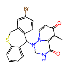 Cc1c2n(ccc1=O)N(C1c3ccc(Br)cc3CSc3ccccc31)CNC2=O